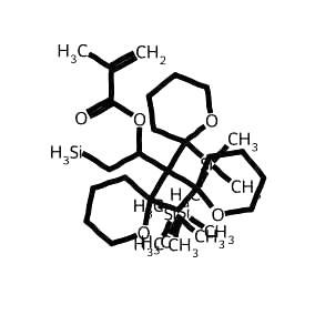 C=C(C)C(=O)OC(C[SiH3])C(C1([Si](C)(C)C)CCCCO1)(C1([Si](C)(C)C)CCCCO1)C1([Si](C)(C)C)CCCCO1